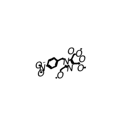 COCc1nc(C(=O)OC)c(C(=O)OC)n1Cc1ccc([N+](=O)[O-])cc1